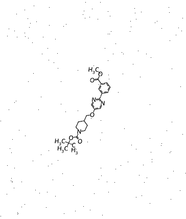 COC(=O)c1cccc(-c2ncc(OCC3CCN(C(=O)OC(C)(C)C)CC3)cn2)c1